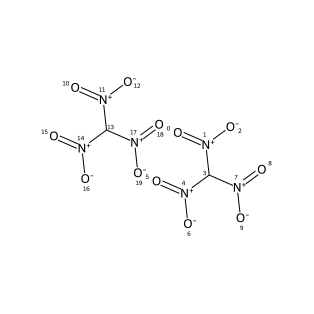 O=[N+]([O-])C([N+](=O)[O-])[N+](=O)[O-].O=[N+]([O-])C([N+](=O)[O-])[N+](=O)[O-]